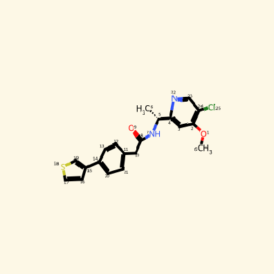 COc1cc([C@@H](C)NC(=O)Cc2ccc(-c3ccsc3)cc2)ncc1Cl